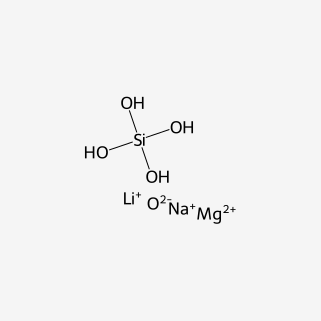 O[Si](O)(O)O.[Li+].[Mg+2].[Na+].[O-2]